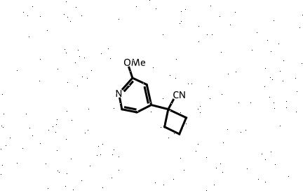 COc1cc(C2(C#N)CCC2)ccn1